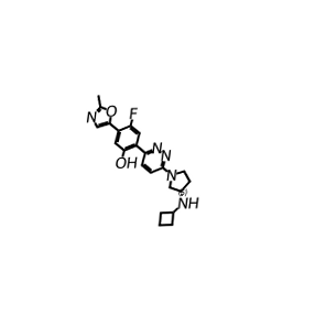 Cc1ncc(-c2cc(O)c(-c3ccc(N4CC[C@H](NC5CCC5)C4)nn3)cc2F)o1